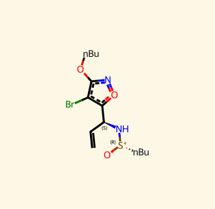 C=C[C@H](N[S@@+]([O-])CCCC)c1onc(OCCCC)c1Br